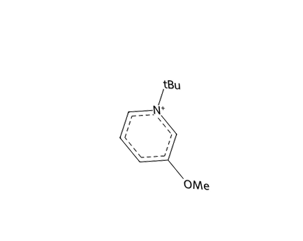 COc1ccc[n+](C(C)(C)C)c1